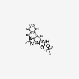 Cc1nc2nc(NC(=O)OC(C)(C)C)ccc2n1Cc1ccccc1